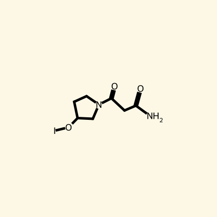 NC(=O)CC(=O)N1CCC(OI)C1